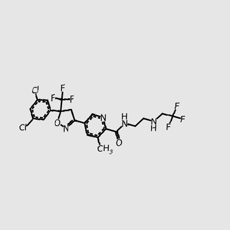 Cc1cc(C2=NOC(c3cc(Cl)cc(Cl)c3)(C(F)(F)F)C2)cnc1C(=O)NCCNCC(F)(F)F